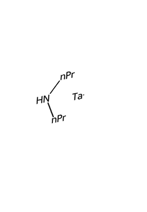 CCCNCCC.[Ta]